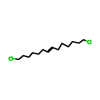 ClCCCCCCC=CCCCCCCCl